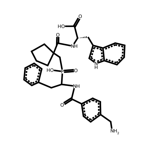 NCc1ccc(C(=O)NC(Cc2ccccc2)P(=O)(O)CC2(C(=O)N[C@@H](Cc3c[nH]c4ccccc34)C(=O)O)CCCC2)cc1